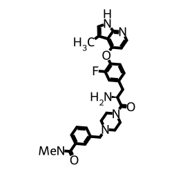 CNC(=O)c1cccc(CN2CCN(C(=O)[C@@H](N)Cc3ccc(Oc4ccnc5[nH]cc(C)c45)c(F)c3)CC2)c1